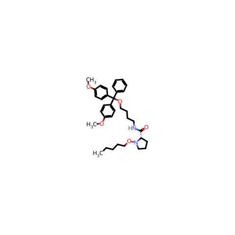 CCCCCON1CCC[C@H]1C(=O)NCCCCOC(c1ccccc1)(c1ccc(OC)cc1)c1ccc(OC)cc1